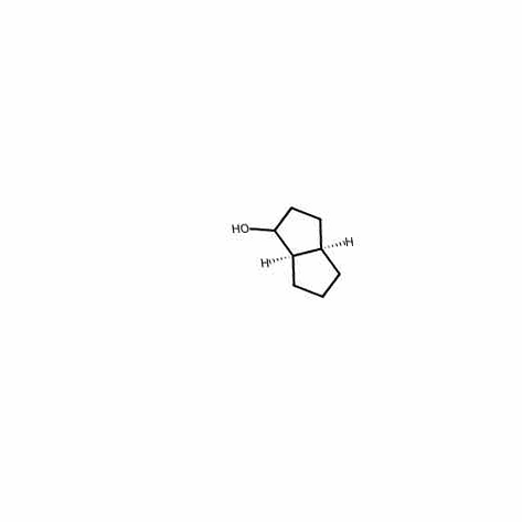 OC1CC[C@H]2CCC[C@@H]12